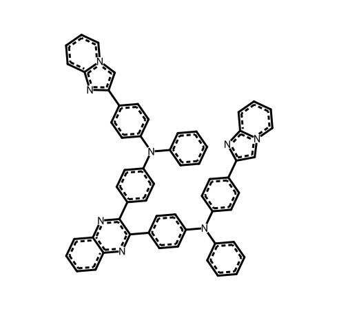 c1ccc(N(c2ccc(-c3cn4ccccc4n3)cc2)c2ccc(-c3nc4ccccc4nc3-c3ccc(N(c4ccccc4)c4ccc(-c5cn6ccccc6n5)cc4)cc3)cc2)cc1